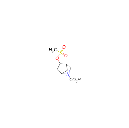 CS(=O)(=O)OC1CC2CC1CN2C(=O)O